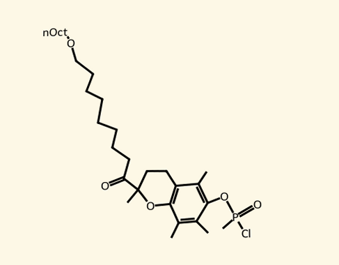 CCCCCCCCOCCCCCCCCC(=O)C1(C)CCc2c(C)c(OP(C)(=O)Cl)c(C)c(C)c2O1